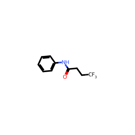 O=C(CCC(F)(F)F)Nc1ccccc1